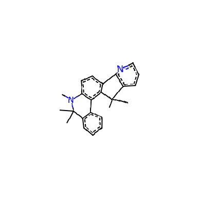 CN1c2ccc3c(c2-c2ccccc2C1(C)C)C(C)(C)c1cccnc1-3